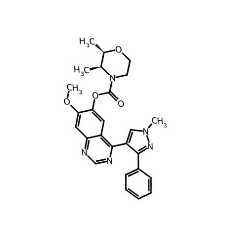 COc1cc2ncnc(-c3cn(C)nc3-c3ccccc3)c2cc1OC(=O)N1CCO[C@H](C)[C@@H]1C